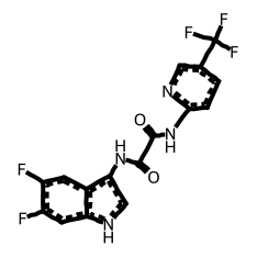 O=C(Nc1ccc(C(F)(F)F)cn1)C(=O)Nc1c[nH]c2cc(F)c(F)cc12